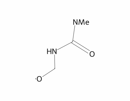 CNC(=O)NC[O]